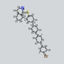 Brc1ccc(-c2ccc(-c3ccc(-c4ccc5c(c4)-c4cccc6ccnc(c46)S5)cc3)cc2)cc1